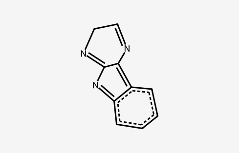 C1=NC2=c3ccccc3=NC2=NC1